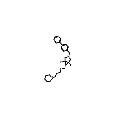 c1ncc(-c2ccc(CN3C[C@@H]4[C@H](COCCCN5CCCCC5)[C@@H]4C3)cc2)cn1